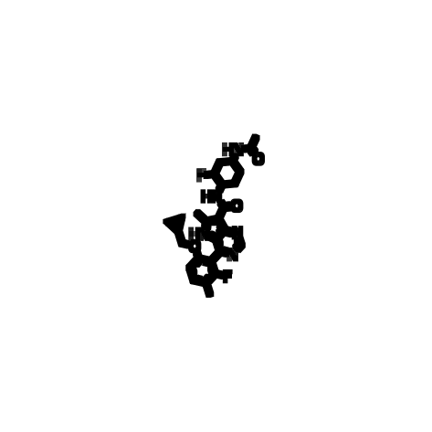 CC(=O)NC1CCC(NC(=O)c2c(C)[nH]c3c(-c4c(OCC5CC5)ccc(C)c4F)ncnc23)C(F)C1